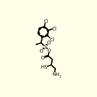 CC(c1ccc(Cl)c(Cl)c1Cl)S(=O)(=O)OC(=O)CC(S)CN